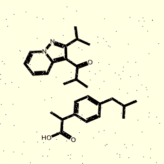 CC(C)C(=O)c1c(C(C)C)nn2ccccc12.CC(C)Cc1ccc(C(C)C(=O)O)cc1